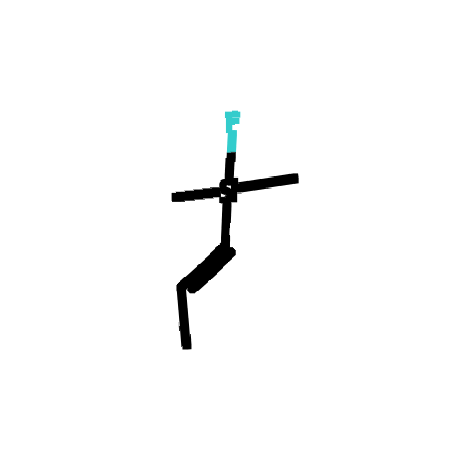 C/C=C/[Si](C)(C)F